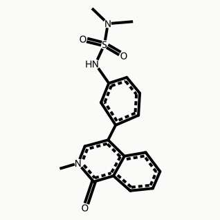 CN(C)S(=O)(=O)Nc1cccc(-c2cn(C)c(=O)c3ccccc23)c1